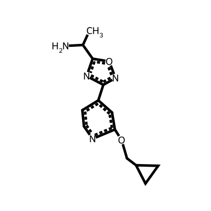 CC(N)c1nc(-c2ccnc(OCC3CC3)c2)no1